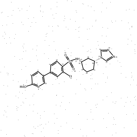 CCc1cc(-c2ccc(OC)nc2)ccc1S(=O)(=O)N[C@H]1CCC[C@@H](n2cnnc2)C1